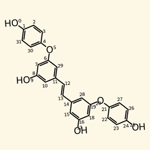 Oc1ccc(Oc2cc(O)cc(C=Cc3cc(O)cc(Oc4ccc(O)cc4)c3)c2)cc1